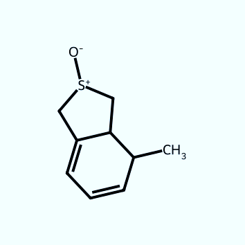 CC1C=CC=C2C[S+]([O-])CC21